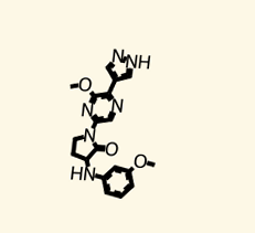 COc1cccc(NC2CCN(c3cnc(-c4cn[nH]c4)c(OC)n3)C2=O)c1